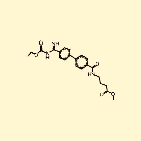 CCOC(=O)NC(=N)c1ccc(-c2ccc(C(=O)NCCCC(=O)OC)cc2)cc1